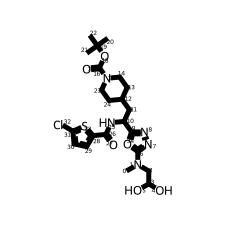 CN(CC(O)O)c1nnc(C(CC2CCN(C(=O)OC(C)(C)C)CC2)NC(=O)c2ccc(Cl)s2)o1